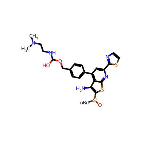 CCCC[S+]([O-])c1sc2nc(-c3nccs3)cc(-c3ccc(COC(O)NCCN(C)C)cc3)c2c1N